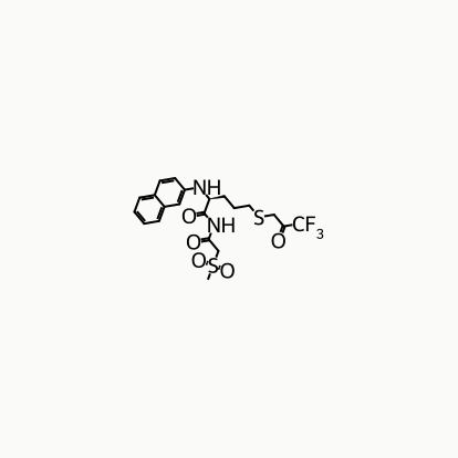 CS(=O)(=O)CC(=O)NC(=O)[C@H](CCCSCC(=O)C(F)(F)F)Nc1ccc2ccccc2c1